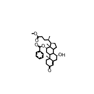 COC(=O)CC[C@@H](C)[C@H]1CCC2C3C(C[C@H](OC(=O)c4ccccc4)[C@@]21C)[C@@]1(C)CCC(=O)C=C1C[C@H]3O